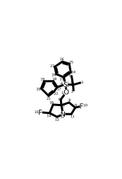 CC(C)(C)[Si](OCC12CC(F)CN1CC(F)C2)(c1ccccc1)c1ccccc1